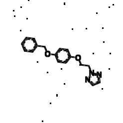 c1ccc(COc2ccc(OCCn3nccn3)cc2)cc1